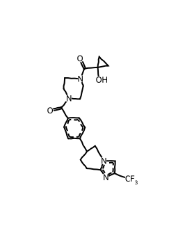 O=C(c1ccc(C2CCc3nc(C(F)(F)F)cn3C2)cc1)N1CCN(C(=O)C2(O)CC2)CC1